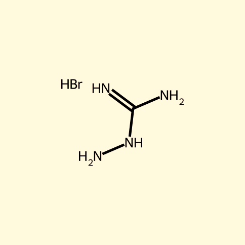 Br.N=C(N)NN